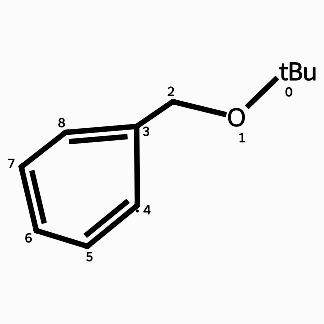 CC(C)(C)OCc1[c]cccc1